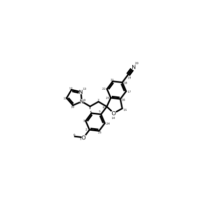 COc1ccc(C2(CCn3cccn3)OCc3cc(C#N)ccc32)cc1